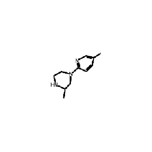 Cc1ccc(N2CCNC(C)C2)nc1